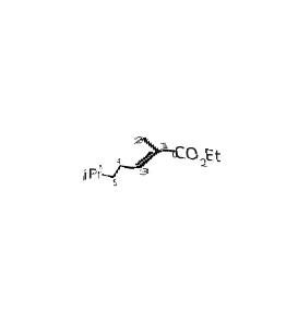 CCOC(=O)C(C)=CCCC(C)C